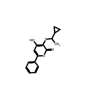 CC(Sc1c(O)cc(-c2ccccc2)oc1=O)C1CC1